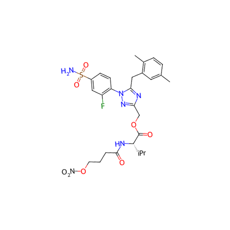 Cc1ccc(C)c(Cc2nc(COC(=O)[C@@H](NC(=O)CCCO[N+](=O)[O-])C(C)C)nn2-c2ccc(S(N)(=O)=O)cc2F)c1